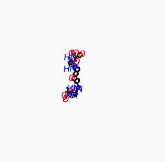 CC[C@H]1CC[C@@H](c2nc3ccc4cc5c(cc4c3[nH]2)OCc2cc(-c3cnc(C4CC[C@H](C)N4C(=O)[C@@H](NC(=O)OC)[C@@H](C)CC)[nH]3)ccc2-5)N1C(=O)[C@@H](NC(=O)OC)C1CCOCC1